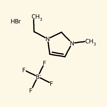 Br.CCN1C=CN(C)C1.F[B-](F)(F)F